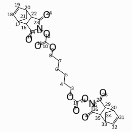 O=C(OCCCCCCOC(=O)ON1C(=O)C2C3C=CC(C3)C2C1=O)ON1C(=O)C2C3C=CC(C3)C2C1=O